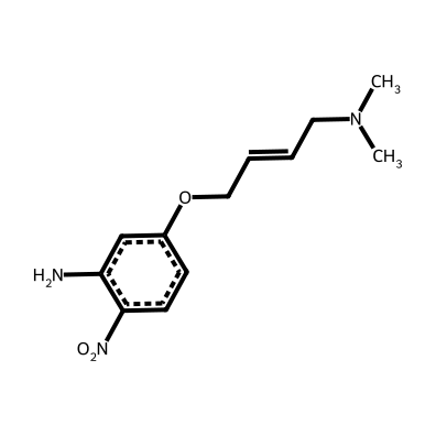 CN(C)CC=CCOc1ccc([N+](=O)[O-])c(N)c1